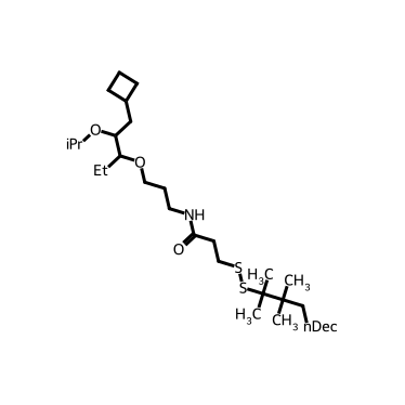 CCCCCCCCCCCC(C)(C)C(C)(C)SSCCC(=O)NCCCOC(CC)C(CC1CCC1)OC(C)C